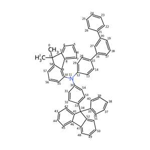 CC1(C)c2ccccc2-c2c(N(c3ccc(-c4cccc(-c5ccccc5)c4)cc3)c3ccc(C4(c5ccccc5)c5ccccc5-c5ccccc54)cc3)cccc21